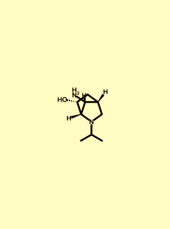 CC(C)N1C[C@H]2C[C@@H](O)[C@@H]1[C@@H]2N